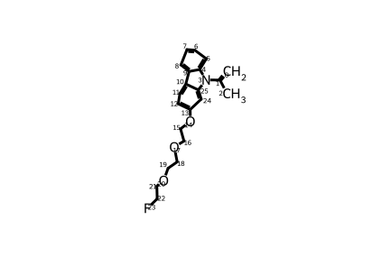 C=C(C)n1c2ccccc2c2ccc(OCCOCCOCCF)cc21